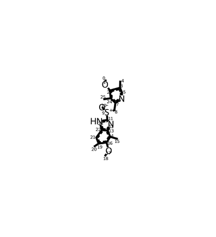 COc1c(C)cnc(C[S+]([O-])c2nc3c(C)c(OC)c(C)cc3[nH]2)c1C